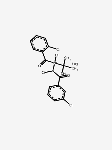 CC(C)(C)[N+](Cl)(C(=O)c1ccccc1Cl)N(Cl)C(=O)c1cccc(Cl)c1.Cl